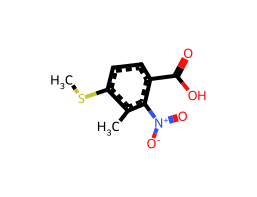 CSc1ccc(C(=O)O)c([N+](=O)[O-])c1C